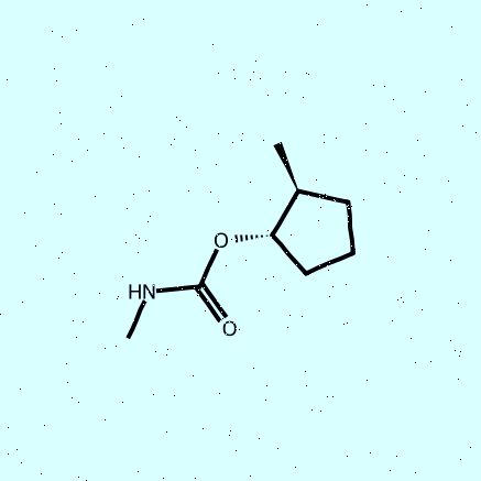 CNC(=O)O[C@H]1CCC[C@@H]1C